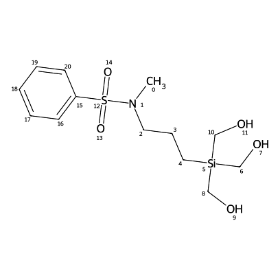 CN(CCC[Si](CO)(CO)CO)S(=O)(=O)c1ccccc1